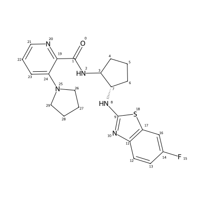 O=C(NC1CCC[C@@H]1Nc1nc2ccc(F)cc2s1)c1ncccc1N1CCCC1